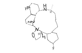 C[C@@H]1CCCC2CCC(F)CC2[C@@H]2CCON2C2CCC3NCCC(N1)C3N2